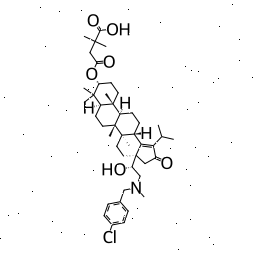 CC(C)C1=C2[C@H]3CC[C@@H]4[C@@]5(C)CC[C@@H](OC(=O)CC(C)(C)C(=O)O)C(C)(C)[C@@H]5CC[C@@]4(C)[C@]3(C)CC[C@@]2([C@@H](O)CN(C)Cc2ccc(Cl)cc2)CC1=O